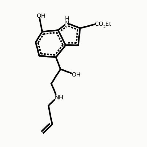 C=CCNCC(O)c1ccc(O)c2[nH]c(C(=O)OCC)cc12